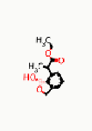 CCOC(=O)C(C)c1cccc2c1B(O)OC2